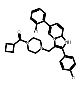 O=C(C1CCC1)N1CCN(CC2=C(c3ccc(Cl)cc3)NC3C=CC(c4ccccc4Cl)=CN23)CC1